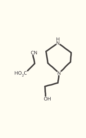 N#CCC(=O)O.OCCN1CCNCC1